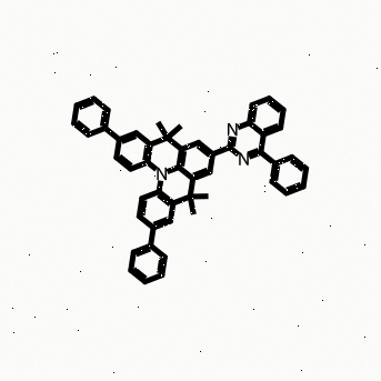 CC1(C)c2cc(-c3ccccc3)ccc2N2c3ccc(-c4ccccc4)cc3C(C)(C)c3cc(-c4nc(-c5ccccc5)c5ccccc5n4)cc1c32